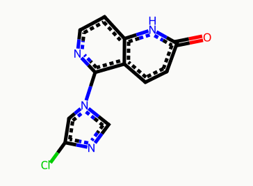 O=c1ccc2c(-n3cnc(Cl)c3)nccc2[nH]1